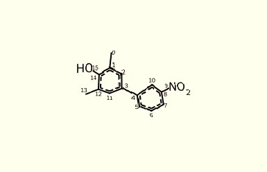 Cc1cc(-c2cccc([N+](=O)[O-])c2)cc(C)c1O